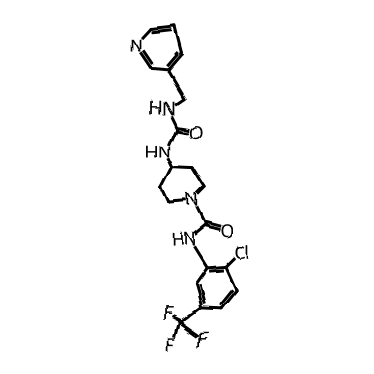 O=C(NCc1cccnc1)NC1CCN(C(=O)Nc2cc(C(F)(F)F)ccc2Cl)CC1